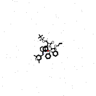 C=CCOC(=O)C(N1C(=O)[C@H]([C@@H](C)O[Si](C)(C)C(C)(C)C)[C@H]1[C@H]1CCC/C(=C\c2cc(C)nc(C)c2)C1=O)=P(c1ccccc1)(c1ccccc1)c1ccccc1